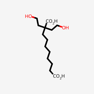 O=C(O)CCCCCCCC(CCO)(CCO)C(=O)O